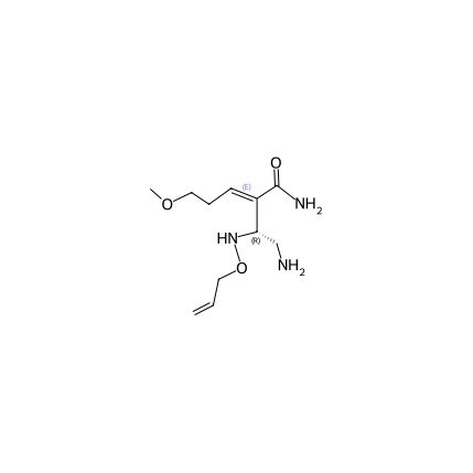 C=CCON[C@@H](CN)/C(=C\CCOC)C(N)=O